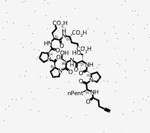 C#CCCC(=O)N[C@@H](CCCCC)C(=O)N1CCC[C@H]1C(=O)N[C@@H](CO)C(=O)N[C@H](CO)C(=O)N1CCC[C@H]1C(=O)N1CCC[C@H]1C(=O)N[C@@H](CCC(=O)O)C(=O)N[C@@H](CCC(=O)O)C(=O)O